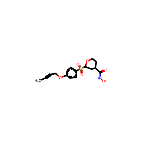 CC#CCOc1ccc(S(=O)(=O)C2CC(C(=O)NO)CCO2)cc1